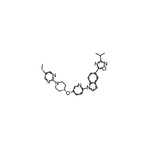 CCc1cnc(N2CCC(Oc3ccc(-n4ccc5cc(-c6nc(C(C)C)no6)ccc54)nc3)CC2)nc1